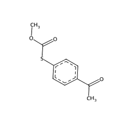 COC(=O)Sc1ccc(C(C)=O)cc1